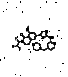 COc1cc(-c2cnc(Nc3cc(CN4CCOCC4)ccn3)s2)cc2c1C(=O)N(C(F)C(F)F)CC2